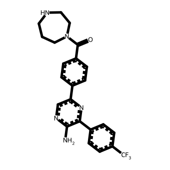 Nc1ncc(-c2ccc(C(=O)N3CCCNCC3)cc2)nc1-c1ccc(C(F)(F)F)cc1